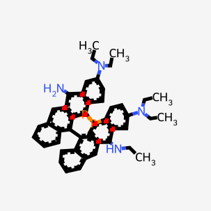 CCNc1ccc(P(c2ccc(N(CC)CC)cc2)c2ccc3ccccc3c2-c2c(P(c3ccc(N)cc3)c3ccc(N(CC)CC)cc3)ccc3ccccc23)cc1